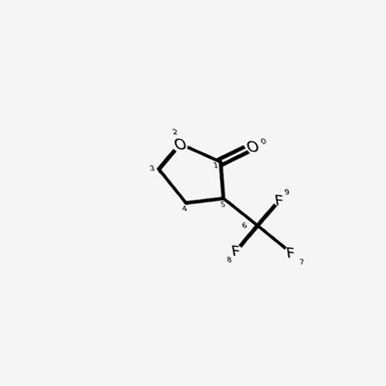 O=C1O[CH]CC1C(F)(F)F